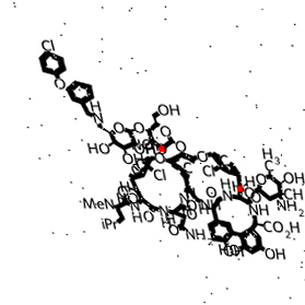 CN[C@H](CC(C)C)C(=O)NC1C(=O)N[C@@H](CC(N)=O)C(=O)N[C@H]2C(=O)N[C@H]3C(=O)N[C@H](C(=O)N[C@@H](C(=O)O)c4cc(O)cc(O)c4-c4cc3ccc4O)[C@H](OC3C[C@](C)(N)[C@@H](O)[C@H](C)O3)c3ccc(c(Cl)c3)Oc3cc2cc(c3O[C@@H]2O[C@H](CO)[C@@H](O[C@@H]3O[C@H](CNCc4cccc(Oc5ccc(Cl)cc5)c4)[C@H](O)[C@H](O)[C@H]3O)[C@H](O)[C@H]2O)Oc2ccc(cc2Cl)[C@H]1O